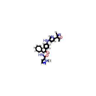 CCn1nccc1C(=O)N[C@H](C(=O)c1ccc(Nc2ccc(-c3c(C)noc3C)nc2)cc1)C1CCCCCC1